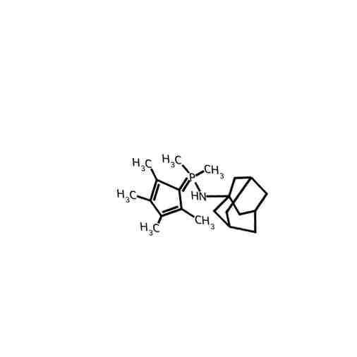 CC1=C(C)C(=P(C)(C)NC23CC4CC(CC(C4)C2)C3)C(C)=C1C